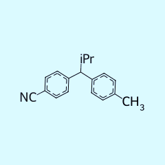 Cc1ccc(C(c2ccc(C#N)cc2)C(C)C)cc1